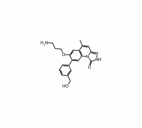 Cc1cc2n[nH]c(=O)n2c2cc(-c3cccc(CO)c3)c(OCCCN)cc12